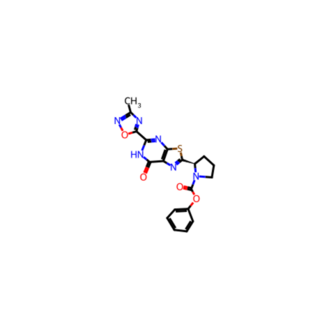 Cc1noc(-c2nc3sc([C@H]4CCCN4C(=O)Oc4ccccc4)nc3c(=O)[nH]2)n1